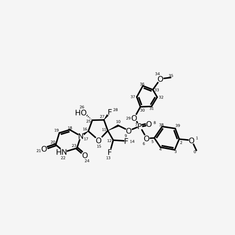 COc1ccc(OP(=O)(OC[C@@]2(C(F)F)O[C@@H](n3ccc(=O)[nH]c3=O)[C@H](O)[C@H]2F)Oc2ccc(OC)cc2)cc1